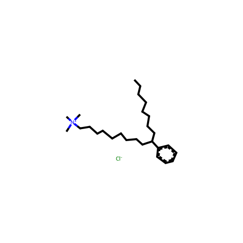 CCCCCCCCC(CCCCCCCCC[N+](C)(C)C)c1ccccc1.[Cl-]